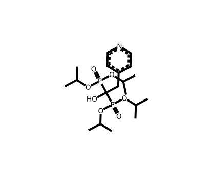 CC(C)OP(=O)(OC(C)C)C(O)(Cc1ccncc1)P(=O)(OC(C)C)OC(C)C